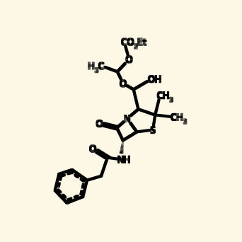 CCOC(=O)OC(C)OC(O)C1N2C(=O)[C@@H](NC(=O)Cc3ccccc3)C2SC1(C)C